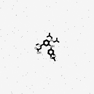 CC[C@@H](CC(=O)O)c1ccc([As](CC(C)C)CC(C)C)c(Nc2ccc3nc(C)sc3c2)c1